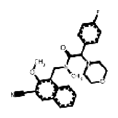 COc1c(C#N)cc2ccccc2c1CN(C)C(=O)C(c1ccc(F)cc1)N1CCOCC1